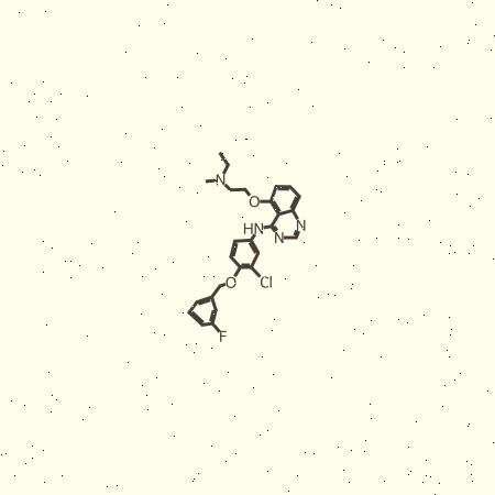 CCN(C)CCOc1cccc2ncnc(Nc3ccc(OCc4cccc(F)c4)c(Cl)c3)c12